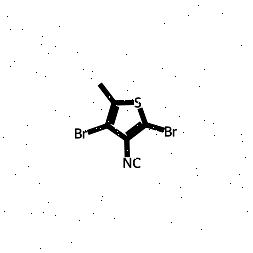 [C-]#[N+]c1c(Br)sc(C)c1Br